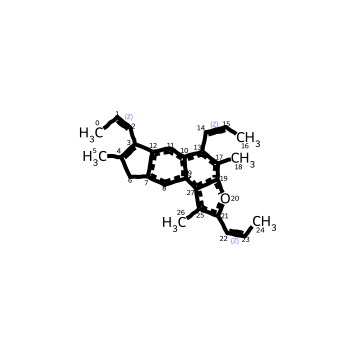 C/C=C\C1=C(C)Cc2cc3c(cc21)c(/C=C\C)c(C)c1oc(/C=C\C)c(C)c13